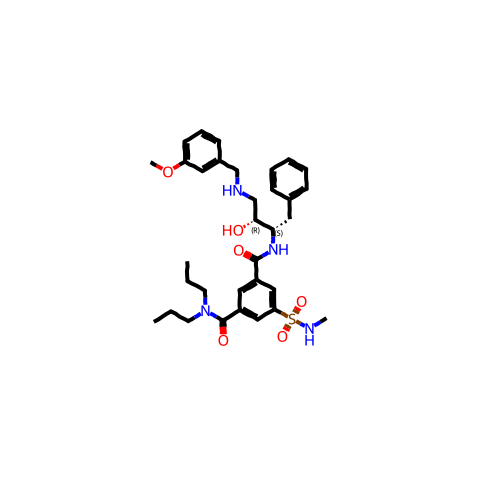 CCCN(CCC)C(=O)c1cc(C(=O)N[C@@H](Cc2ccccc2)[C@H](O)CNCc2cccc(OC)c2)cc(S(=O)(=O)NC)c1